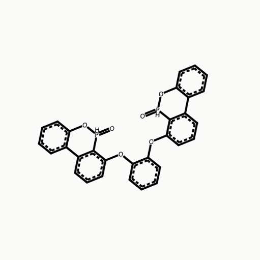 O=[PH]1Oc2ccccc2-c2cccc(Oc3ccccc3Oc3cccc4c3[PH](=O)Oc3ccccc3-4)c21